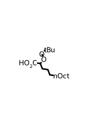 CCCCCCCCCCCC(OOC(C)(C)C)C(=O)O